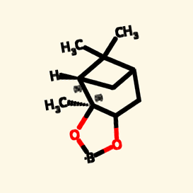 CC1(C)C2CC3O[B]O[C@@]3(C)[C@H]1C2